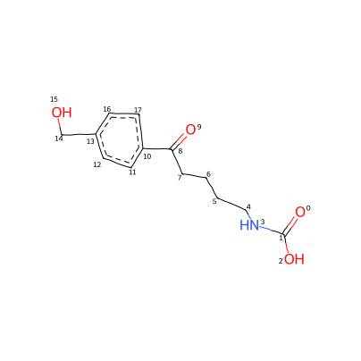 O=C(O)NCCCCC(=O)c1ccc(CO)cc1